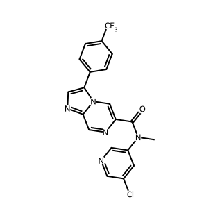 CN(C(=O)c1cn2c(-c3ccc(C(F)(F)F)cc3)cnc2cn1)c1cncc(Cl)c1